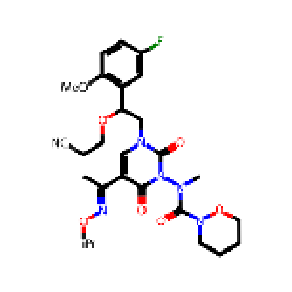 COc1ccc(F)cc1C(Cn1cc(/C(C)=N/OC(C)C)c(=O)n(N(C)C(=O)N2CCCCO2)c1=O)OCCC#N